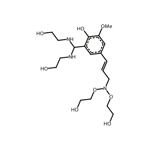 COc1cc(C=CCN(OCCO)OCCO)cc(C(NCCO)NCCO)c1O